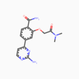 CN(C)C(=O)COc1cc(-c2ccnc(N)n2)ccc1C(N)=O